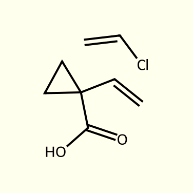 C=CC1(C(=O)O)CC1.C=CCl